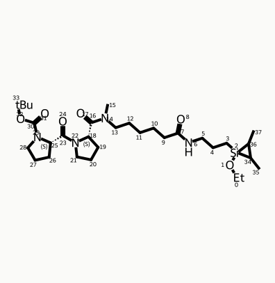 CCO[Si]1(CCCNC(=O)CCCCCN(C)C(=O)[C@@H]2CCCN2C(=O)[C@@H]2CCCN2C(=O)OC(C)(C)C)C(C)C1C